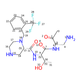 CC(=O)[C@H](CN)NC(=O)[C@@H](NC(=O)[C@@H]1CNCCN1Cc1ccccc1C(F)(F)F)[C@H](C)O